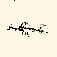 CCOC(CCOCCCCOc1c(CC)cc(OCC=C(Cl)Cl)cc1CC)OCC